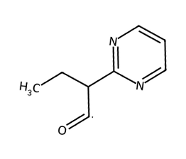 CCC([C]=O)c1ncccn1